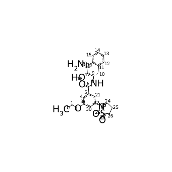 CCOc1cc(C(=O)N[C@@H](Cc2ccccc2)[C@H](O)CN)cc(N2CCCS2(=O)=O)c1